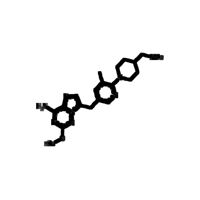 CCCCOc1nc(N)c2ncc(Cc3cnc(N4CCC(CNC)CC4)c(C)c3)n2n1